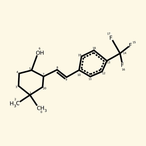 CC1(C)CCC(O)C(/C=C/c2ccc(C(F)(F)F)cc2)C1